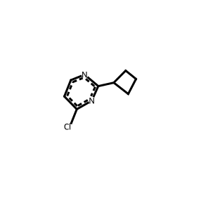 Clc1ccnc(C2CCC2)n1